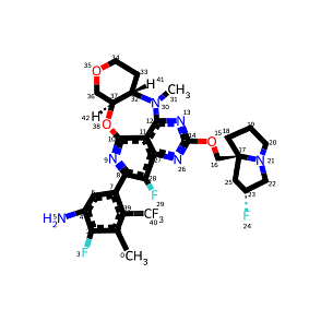 Cc1c(F)c(N)cc(-c2nc3c4c(nc(OC[C@@]56CCCN5C[C@H](F)C6)nc4c2F)N(C)[C@H]2CCOC[C@@H]2O3)c1C(F)(F)F